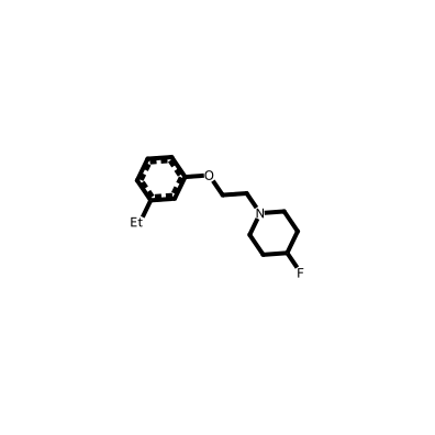 CCc1cccc(OCCN2CCC(F)CC2)c1